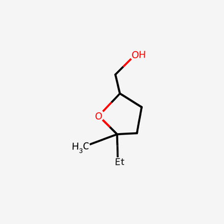 CCC1(C)CCC(CO)O1